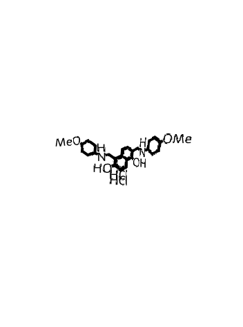 COC1CCC(NCc2ccc3c(CNC4CCC(OC)CC4)c(O)ccc3c2O)CC1.Cl.Cl